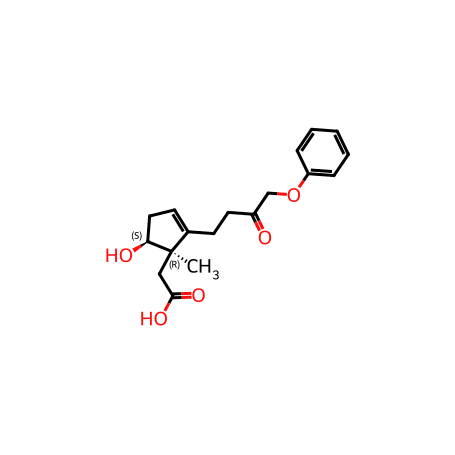 C[C@@]1(CC(=O)O)C(CCC(=O)COc2ccccc2)=CC[C@@H]1O